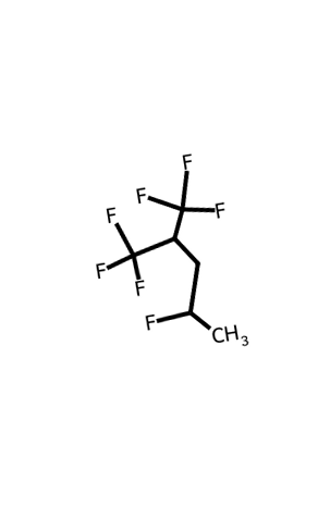 CC(F)CC(C(F)(F)F)C(F)(F)F